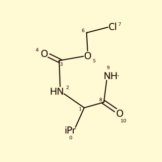 CC(C)C(NC(=O)OCCl)C([NH])=O